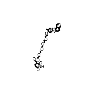 Cc1cnc(Nc2ccc3cnccc3c2)cc1OCCOCCOCCOCCOCCOC(C[O])C1CCC(=O)NC1=O